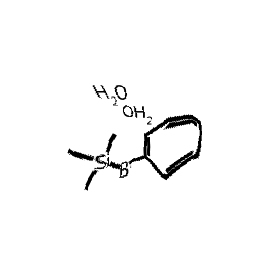 C[Si](C)(C)[B]c1ccccc1.O.O